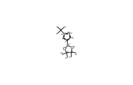 CC(C)(C)n1cc(B2OC(C)(C)C(C)(C)O2)cn1